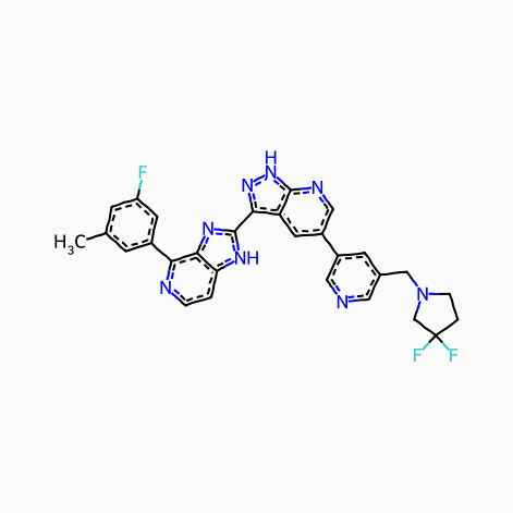 Cc1cc(F)cc(-c2nccc3[nH]c(-c4n[nH]c5ncc(-c6cncc(CN7CCC(F)(F)C7)c6)cc45)nc23)c1